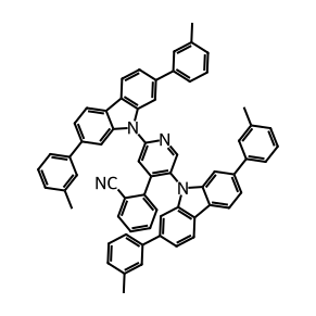 Cc1cccc(-c2ccc3c4ccc(-c5cccc(C)c5)cc4n(-c4cc(-c5ccccc5C#N)c(-n5c6cc(-c7cccc(C)c7)ccc6c6ccc(-c7cccc(C)c7)cc65)cn4)c3c2)c1